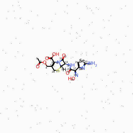 CC(=O)OCC1=C(C(=O)O)N2C(=O)[C@@H](NC(=O)/C(=N\O)c3c[se]c(N)n3)[C@H]2SC1